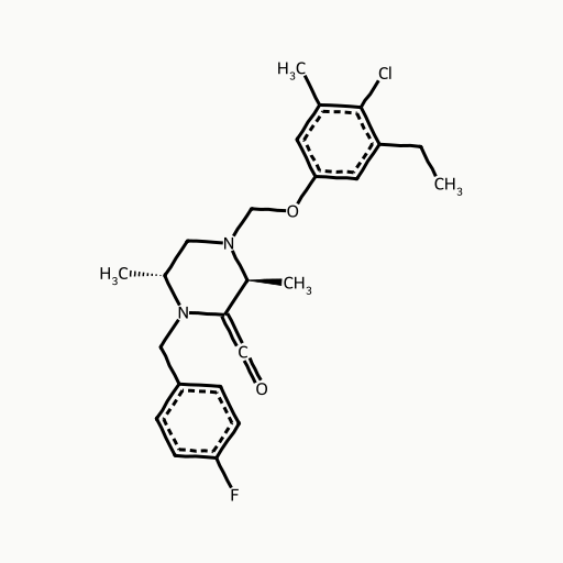 CCc1cc(OCN2C[C@@H](C)N(Cc3ccc(F)cc3)C(=C=O)[C@@H]2C)cc(C)c1Cl